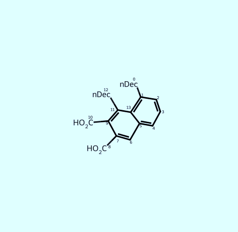 CCCCCCCCCCc1cccc2cc(C(=O)O)c(C(=O)O)c(CCCCCCCCCC)c12